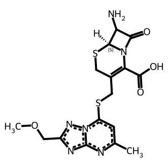 COCc1nc2nc(C)cc(SCC3=C(C(=O)O)N4C(=O)C(N)[C@@H]4SC3)n2n1